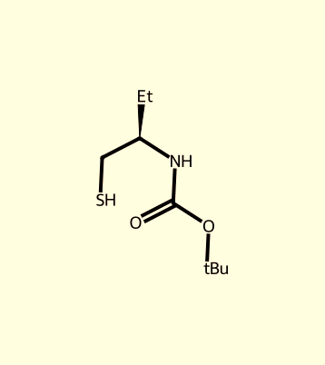 CC[C@H](CS)NC(=O)OC(C)(C)C